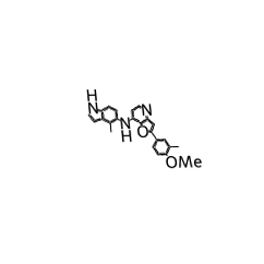 COc1ccc(-c2cc3nccc(Nc4ccc5[nH]ccc5c4C)c3o2)cc1C